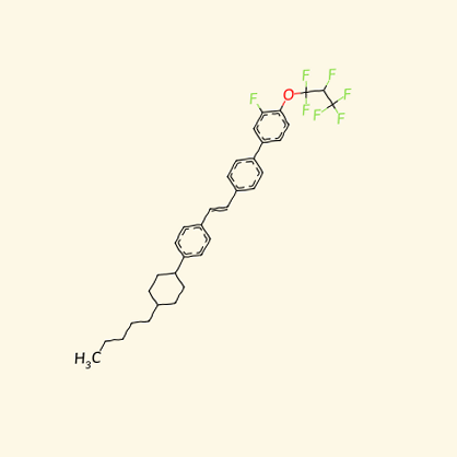 CCCCCC1CCC(c2ccc(/C=C/c3ccc(-c4ccc(OC(F)(F)C(F)C(F)(F)F)c(F)c4)cc3)cc2)CC1